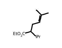 CCOC(=O)C(CC=C(C)C)C(C)C